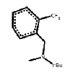 CCCCN(C)Cc1ccccc1C(F)(F)F